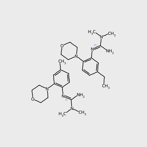 CCc1ccc(N2CCOCC2)c(/N=C(\N)N(C)C)c1.Cc1ccc(/N=C(\N)N(C)C)c(N2CCOCC2)c1